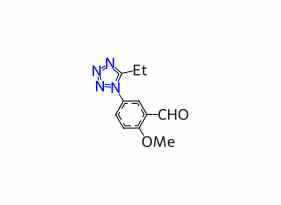 CCc1nnnn1-c1ccc(OC)c(C=O)c1